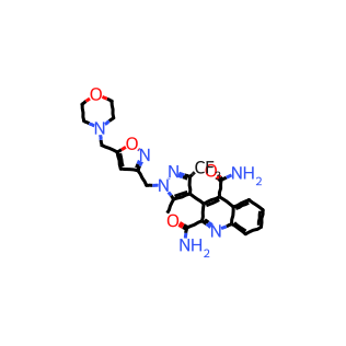 Cc1c(-c2c(C(N)=O)nc3ccccc3c2C(N)=O)c(C(F)(F)F)nn1Cc1cc(CN2CCOCC2)on1